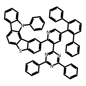 c1ccc(-c2nc(-c3ccccc3)nc(-c3cc(-c4c(-c5ccccc5)cccc4-c4ccccc4)cnc3-c3ccc4sc5ccc6c7ccccc7n(-c7ccccc7)c6c5c4c3)n2)cc1